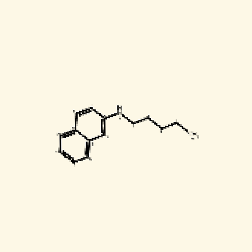 CCCCCNc1ccc2ccccc2c1